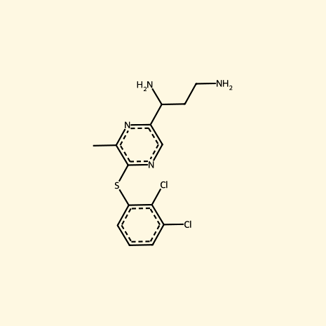 Cc1nc(C(N)CCN)cnc1Sc1cccc(Cl)c1Cl